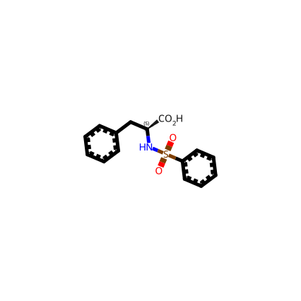 O=C(O)[C@H](Cc1ccccc1)NS(=O)(=O)c1ccccc1